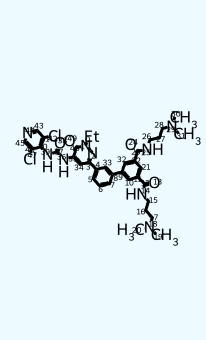 CCn1nc(-c2cccc(-c3cc(C(=O)NCCCN(C)C)cc(C(=O)NCCCN(C)C)c3)c2)cc(NC(=O)Nc2c(Cl)cncc2Cl)c1=O